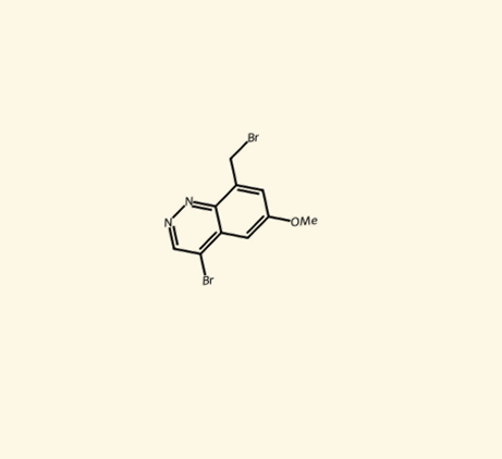 COc1cc(CBr)c2nncc(Br)c2c1